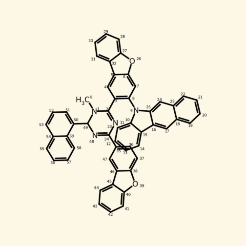 CN1C(c2cc3c(cc2-n2c4ccccc4c4cc5ccccc5cc42)oc2ccccc23)=NC(c2ccc3oc4ccccc4c3c2)=NC1c1cccc2ccccc12